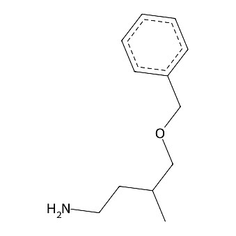 CC(CCN)COCc1ccccc1